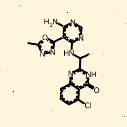 Cc1nnc(-c2c(N)ncnc2NC(C)c2nc3cccc(Cl)c3c(=O)[nH]2)o1